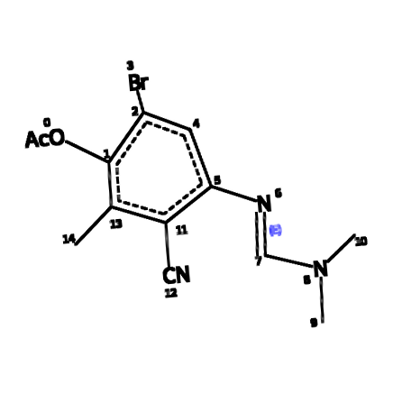 CC(=O)Oc1c(Br)cc(/N=C/N(C)C)c(C#N)c1C